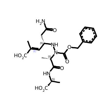 C/C(=C\[C@H](CC(N)=O)NN(C(=O)OCc1ccccc1)[C@@H](C)C(=O)N[C@@H](C)C(=O)O)C(=O)O